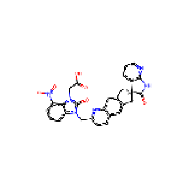 O=C(O)Cn1c(=O)n(Cc2ccc3cc4c(cc3n2)C[C@@]2(C4)C(=O)Nc3ncccc32)c2cccc([N+](=O)[O-])c21